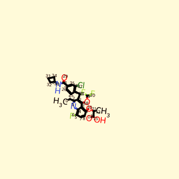 CCc1nc2c(F)ccc(OC(C)C(=O)O)c2c(OC(F)F)c1Cc1ccc(C(=O)NC2CCC2)cc1Cl